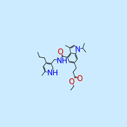 CCCC1=C(CNC(=O)c2cc(CCC(=O)OCC)cc3c2c(C)cn3C(C)C)CNC(C)=C1